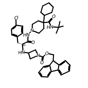 CC(C)(C)NC(=O)C1(C2CCCCC2)CCN(NC(=O)[C@@H](Cc2ccc(Cl)cc2)NC2CN(C(=O)OCC3c4ccccc4-c4ccccc43)C2)CC1